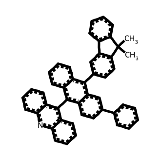 CC1(C)c2ccccc2-c2cc(-c3c4ccccc4c(-c4c5ccccc5nc5ccccc45)c4ccc(-c5ccccc5)cc34)ccc21